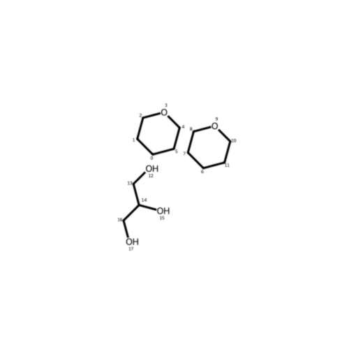 C1CCOCC1.C1CCOCC1.OCC(O)CO